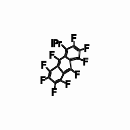 CC(C)c1c(F)c(F)c(F)c2c(F)c3c(F)c(F)c(F)c(F)c3c(F)c12